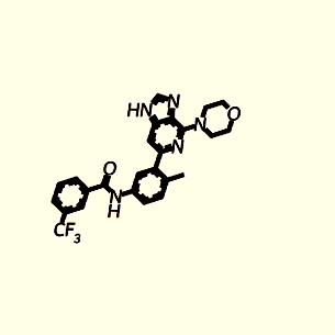 Cc1ccc(NC(=O)c2cccc(C(F)(F)F)c2)cc1-c1cc2[nH]cnc2c(N2CCOCC2)n1